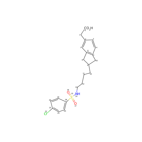 O=C(O)Cc1ccc2c(c1)CC(CCCCNS(=O)(=O)c1ccc(Cl)cc1)C2